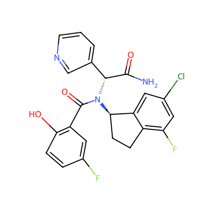 NC(=O)[C@@H](c1cccnc1)N(C(=O)c1cc(F)ccc1O)[C@@H]1CCc2c(F)cc(Cl)cc21